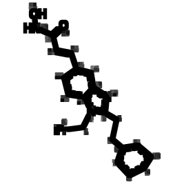 CC(C)Cn1c(CCc2ccccc2)nc2cc(/C=C/C(=O)NO)ccc21